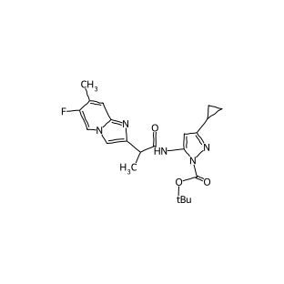 Cc1cc2nc(C(C)C(=O)Nc3cc(C4CC4)nn3C(=O)OC(C)(C)C)cn2cc1F